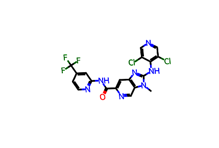 Cn1c(Nc2c(Cl)cncc2Cl)nc2cc(C(=O)Nc3cc(C(F)(F)F)ccn3)ncc21